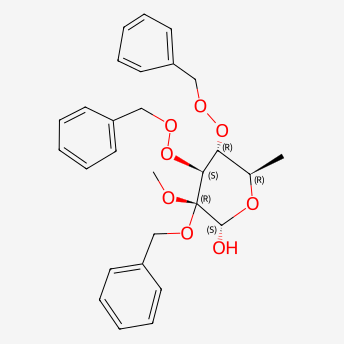 CO[C@]1(OCc2ccccc2)[C@@H](O)O[C@H](C)[C@@H](OOCc2ccccc2)[C@@H]1OOCc1ccccc1